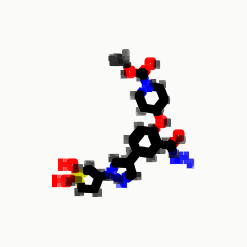 CC(C)(C)OC(=O)N1CCC(Oc2ccc(-c3cnn(C4CCS(O)(O)C4)c3)cc2C(N)=O)CC1